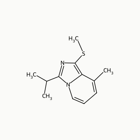 CSc1nc(C(C)C)n2cccc(C)c12